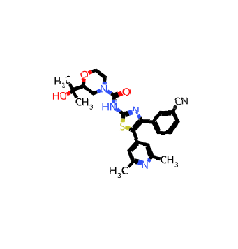 Cc1cc(-c2sc(NC(=O)N3CCOC(C(C)(C)O)C3)nc2-c2cccc(C#N)c2)cc(C)n1